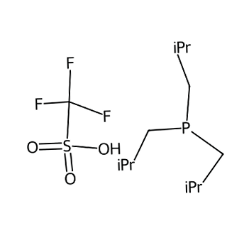 CC(C)CP(CC(C)C)CC(C)C.O=S(=O)(O)C(F)(F)F